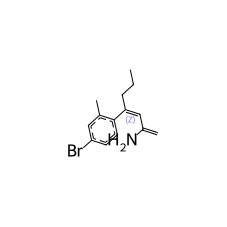 C=C(N)/C=C(/CCC)c1ccc(Br)cc1C